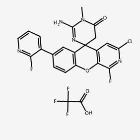 CN1C(=O)CC2(N=C1N)c1cc(-c3cccnc3F)ccc1Oc1c2cc(Cl)nc1F.O=C(O)C(F)(F)F